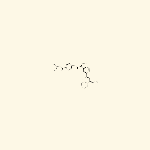 C=N/C=C(\C=C(/C)c1ccc2[nH]nc(C(=O)Nc3ccc(C(=O)NC(CC)CC)nc3)c2c1)N1CCOCC1